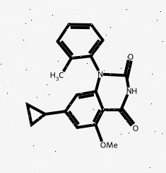 COc1cc(C2CC2)cc2c1c(=O)[nH]c(=O)n2-c1ccccc1C